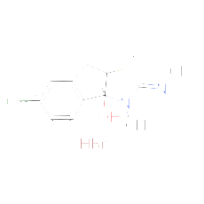 Br.C/N=C1\SC2Cc3cc(Cl)ccc3C2(O)N1C